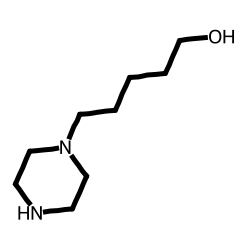 OCCCCCN1CCNCC1